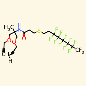 C#CCOCC(C)(COCC#C)NC(=O)CCSCCC(F)(F)C(F)(F)C(F)(F)C(F)(F)C(F)(F)C(F)(F)F